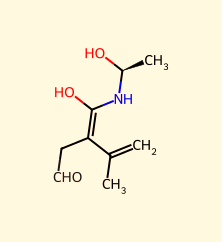 C=C(C)/C(CC=O)=C(/O)N[C@H](C)O